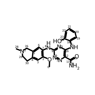 COc1cc2c(cc1Nc1nnc(C(N)=O)c(Nc3ccccc3O)n1)CN(C)CC2